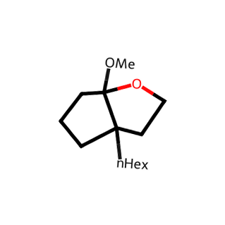 CCCCCCC12CCCC1(OC)OCC2